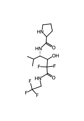 CC(C)[C@H](NC(=O)C1CCCN1)C(O)C(F)(F)C(=O)NCC(F)(F)F